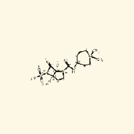 C[N+]1(C)CCC[C@H](NC(=O)N2CC[C@@H]3[C@H]2C(=O)N3S(=O)(=O)[O-])CC1